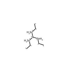 C[CH2][SnH2][N]([SnH2][CH2]C)[SnH2][CH2]C